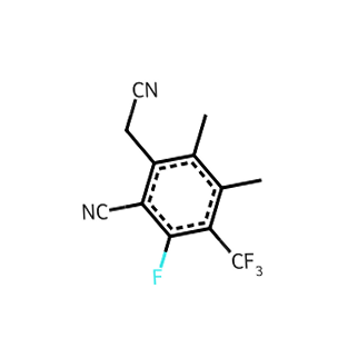 Cc1c(C)c(C(F)(F)F)c(F)c(C#N)c1CC#N